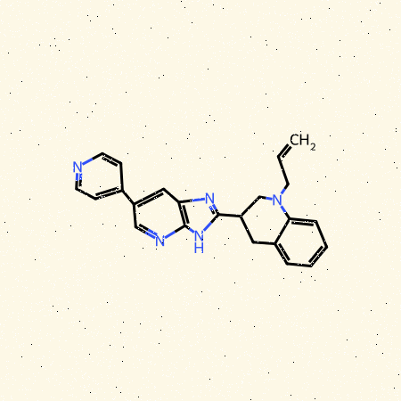 C=CCN1CC(c2nc3cc(-c4ccncc4)cnc3[nH]2)Cc2ccccc21